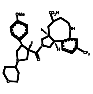 COc1ccc([C@@H]2CN(C3CCOCC3)C[C@@]2(F)C(=O)N2C[C@@H]3c4ccc(C(F)(F)F)cc4NCCC(C(=O)O)C[C@]3(I)C2)cc1